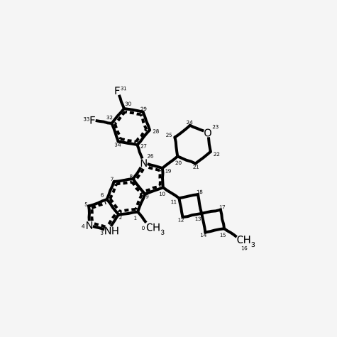 Cc1c2[nH]ncc2cc2c1c(C1CC3(CC(C)C3)C1)c(C1CCOCC1)n2-c1ccc(F)c(F)c1